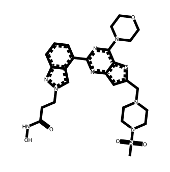 CS(=O)(=O)N1CCN(Cc2cc3nc(-c4cccc5nn(CCC(=O)NO)cc45)nc(N4CCOCC4)c3s2)CC1